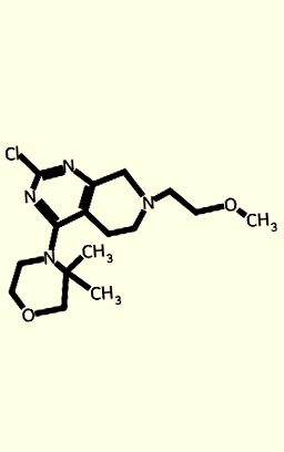 COCCN1CCc2c(nc(Cl)nc2N2CCOCC2(C)C)C1